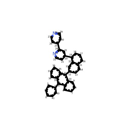 c1ccc(-c2c3ccccc3c(-c3ccc4cccc(-c5ccnc(-c6ccncc6)c5)c4c3)c3ccccc23)cc1